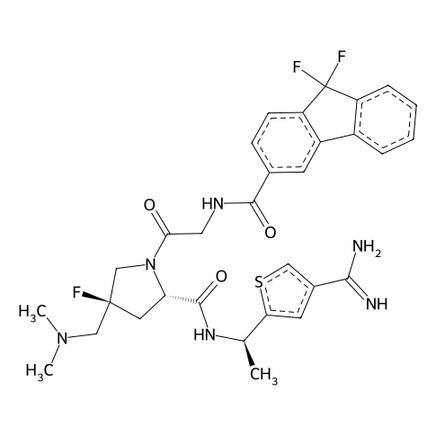 C[C@@H](NC(=O)[C@@H]1C[C@](F)(CN(C)C)CN1C(=O)CNC(=O)c1ccc2c(c1)-c1ccccc1C2(F)F)c1cc(C(=N)N)cs1